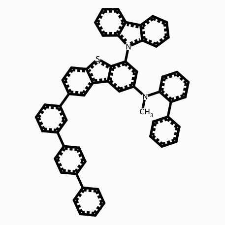 CN(c1cc(-n2c3ccccc3c3ccccc32)c2sc3ccc(-c4cccc(-c5ccc(-c6ccccc6)cc5)c4)cc3c2c1)c1ccccc1-c1ccccc1